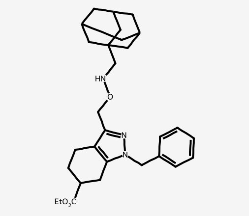 CCOC(=O)C1CCc2c(CONCC34CC5CC(CC(C5)C3)C4)nn(Cc3ccccc3)c2C1